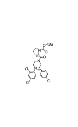 CC(C)(C)OC(=O)N1CCC[C@@H]1C(=O)N1CCN(c2ccc(Cl)cc2Cl)[C@H](c2ccc(Cl)cc2)C1